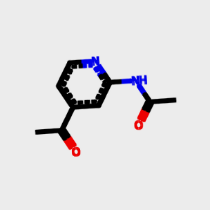 CC(=O)Nc1cc(C(C)=O)ccn1